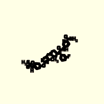 Cc1nc(Oc2ccc(NS(C)(=O)=O)cc2)ncc1CN1CCC(N(C(=O)Nc2ccc(C(N)=O)nc2)c2cccc(F)c2)CC1